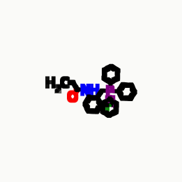 C=CC(=O)Nc1cccc(F)c1C[PH](c1ccccc1)(c1ccccc1)c1ccccc1